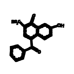 CCOC(=O)c1cc(C(=O)c2ccccc2)c2ccc(O)cn2c1=O